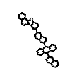 c1ccc2cc(-c3c4ccccc4c(-c4ccc5cc(-c6ccc7oc8c9ccccc9ccc8c7c6)ccc5c4)c4ccccc34)ccc2c1